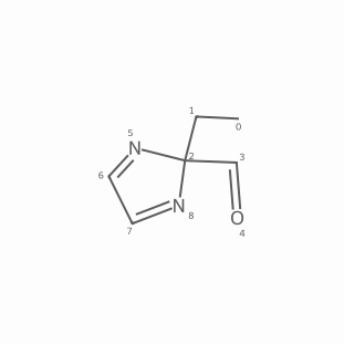 CCC1(C=O)N=CC=N1